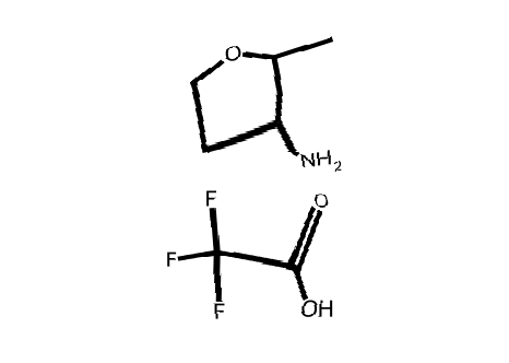 CC1OCCC1N.O=C(O)C(F)(F)F